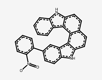 O=[N+]([O-])c1ccccc1-c1ccc2[nH]c3ccc4ccc5[nH]c6ccccc6c5c4c3c2c1